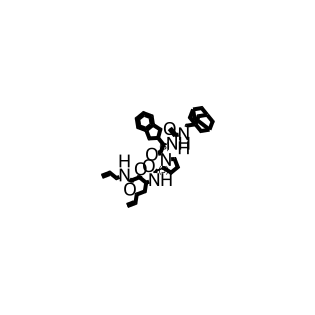 C=CCCC(NC(=O)[C@@H]1CCCN1C(=O)[C@@H](NC(=O)NCC12CC3CC(CC(C3)C1)C2)C1Cc2ccccc2C1)C(=O)C(=O)NCC=C